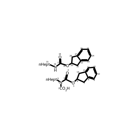 CCCCCCCN(C(=O)O)C(=O)OC1Cc2ccccc2C1.CCCCCCCNC(=O)OC1Cc2ccccc2C1